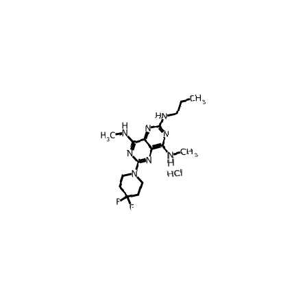 CCCNc1nc(NC)c2nc(N3CCC(F)(F)CC3)nc(NC)c2n1.Cl